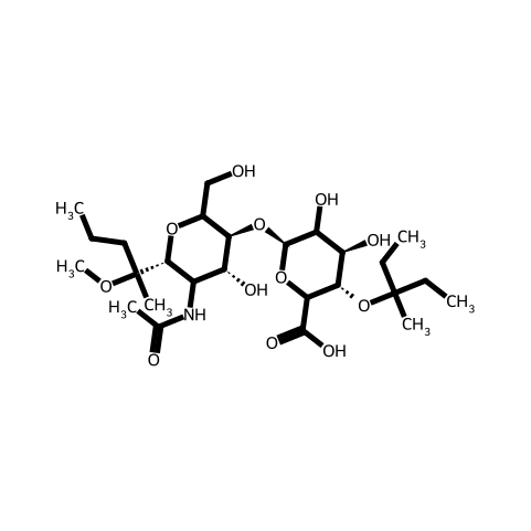 CCCC(C)(OC)[C@@H]1OC(CO)[C@@H](O[C@@H]2OC(C(=O)O)[C@@H](OC(C)(CC)CC)[C@H](O)C2O)[C@H](O)C1NC(C)=O